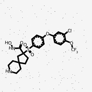 O=C(NO)C1(S(=O)(=O)c2ccc(Oc3ccc(OC(F)(F)F)c(Cl)c3)cc2)CCC2(CCNCC2)C1